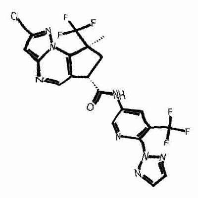 C[C@]1(C(F)(F)F)C[C@H](C(=O)Nc2cnc(-n3nccn3)c(C(F)(F)F)c2)c2cnc3cc(Cl)nn3c21